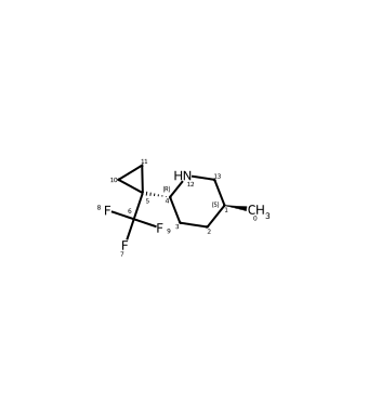 C[C@H]1CC[C@H](C2(C(F)(F)F)CC2)NC1